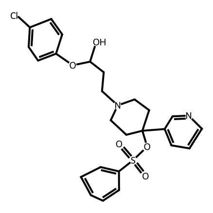 O=S(=O)(OC1(c2cccnc2)CCN(CCC(O)Oc2ccc(Cl)cc2)CC1)c1ccccc1